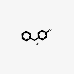 [Li+].[S-]c1ccc(Cc2ccccc2)cc1